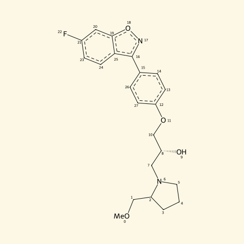 COCC1CCCN1C[C@@H](O)COc1ccc(-c2noc3cc(F)ccc23)cc1